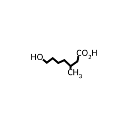 CC(CCCCO)CC(=O)O